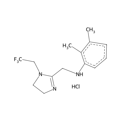 Cc1cccc(NCC2=NCCN2CC(F)(F)F)c1C.Cl